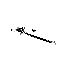 CCCCCCCCC=CCCCCCCCCOC(=O)C(CC(N)=O)S(=O)(=O)O.[Na].[Na]